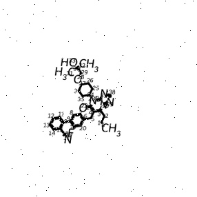 CCCc1c(Cc2ccc(-c3ccccc3C#N)c(F)c2)c(=O)n([C@H]2CC[C@H](OCC(C)(C)O)CC2)c2ncnn12